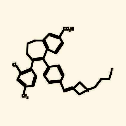 O=C(O)c1ccc2c(c1)CCCC(c1ccc(C(F)(F)F)cc1Cl)=C2c1ccc(C=C2CN(CCCF)C2)cc1